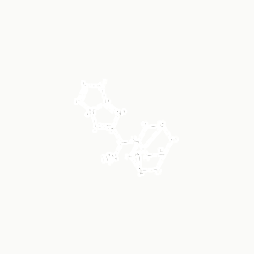 NC(c1cn2ccsc2n1)C12CC3CC(CC(C3)C1)C2